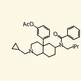 CC(=O)Oc1cccc(C23CCN(CC4CC4)CC2CCC(N(CC(C)C)C(=O)c2ccccc2)C3)c1